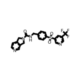 O=C(NCc1ccc(S(=O)(=O)c2cncc(C(F)(F)F)c2)cc1)N1Cc2ccncc2C1